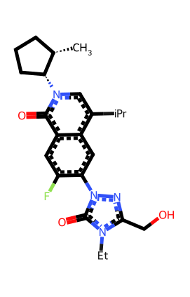 CCn1c(CO)nn(-c2cc3c(C(C)C)cn([C@@H]4CCC[C@@H]4C)c(=O)c3cc2F)c1=O